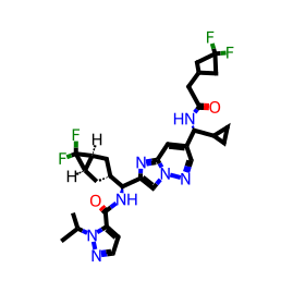 CC(C)n1nccc1C(=O)N[C@H](c1cn2ncc([C@H](NC(=O)CC3CC(F)(F)C3)C3CC3)cc2n1)[C@@H]1C[C@@H]2[C@H](C1)C2(F)F